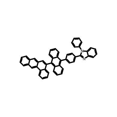 c1ccc(-n2c(-c3ccc(-c4c5ccccc5c(-c5cc6cc7ccccc7cc6c6ccccc56)c5ccccc45)cc3)nc3ccccc32)cc1